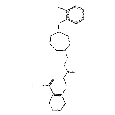 CCOC(=O)C(=N)C1=C(NCC(=O)CCC2CCCC(Oc3ccccc3C)CC2)CCCC1